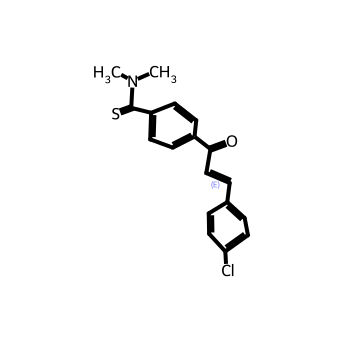 CN(C)C(=S)c1ccc(C(=O)/C=C/c2ccc(Cl)cc2)cc1